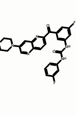 O=C(Nc1cccc(F)c1)Nc1cc(F)cc(C(=O)c2ccc3ncc(N4CCOCC4)cc3n2)c1